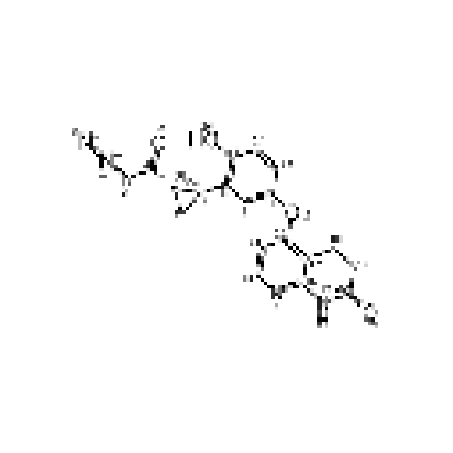 [N-]=[N+]=NC(=O)[C@H]1C[C@@H]1c1cc(Oc2ccnc3c2CCC(=O)N3)ccc1O